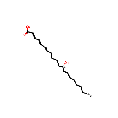 CCCCCCCC[C@@H](O)CCCCC=CC=CC=CC(=O)O